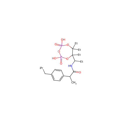 CCC(NC(=O)C(C)c1ccc(CC(C)C)cc1)C1(CC)OP(=O)(O)OP(=O)(O)OC1(CC)CC